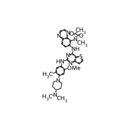 COc1cc(N2CCC(N(C)C)CC2)c(C)cc1Nc1nc(Nc2ccc3nccnc3c2N(C)S(C)(=O)=O)c2sccc2n1